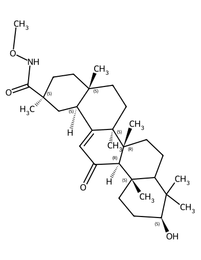 CONC(=O)[C@@]1(C)CC[C@]2(C)CC[C@]3(C)C(=CC(=O)[C@@H]4[C@@]5(C)CC[C@H](O)C(C)(C)C5CC[C@]43C)[C@H]2C1